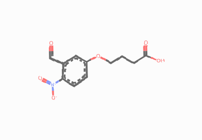 O=Cc1cc(OCCCC(=O)O)ccc1[N+](=O)[O-]